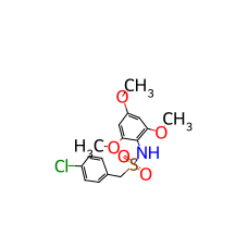 COc1cc(OC)c(NS(=O)(=O)Cc2ccc(Cl)cc2)c(OC)c1